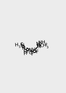 Cc1nc(C#Cc2cc(C(=O)Nc3ccc(CN4CCN(C)CC4)c(C(F)(F)F)c3)c(F)cc2F)cnc1N